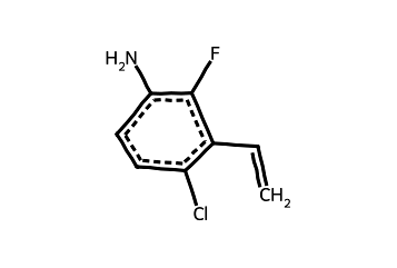 C=Cc1c(Cl)ccc(N)c1F